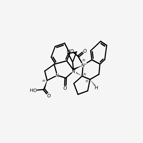 O=C(O)[C@H]1CCN1C(=O)N(C1CC1)[C@@]12CCC[C@@H]1Cc1ccccc1[N@@+]2(Cc1ccccc1)C(=O)O